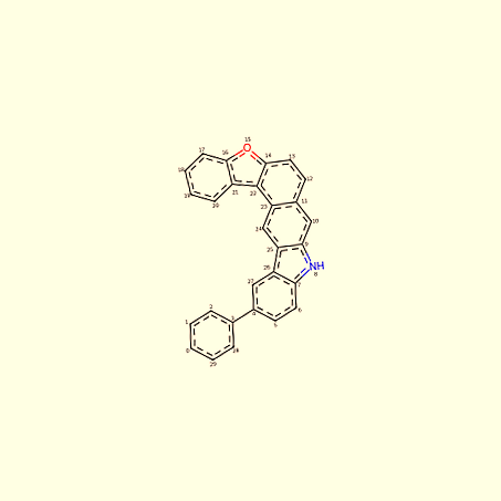 c1ccc(-c2ccc3[nH]c4cc5ccc6oc7ccccc7c6c5cc4c3c2)cc1